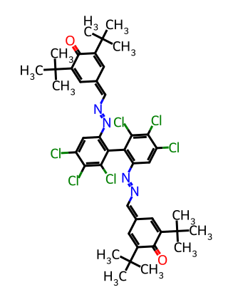 CC(C)(C)C1=CC(=C/N=N/c2cc(Cl)c(Cl)c(Cl)c2-c2c(/N=N/C=C3C=C(C(C)(C)C)C(=O)C(C(C)(C)C)=C3)cc(Cl)c(Cl)c2Cl)C=C(C(C)(C)C)C1=O